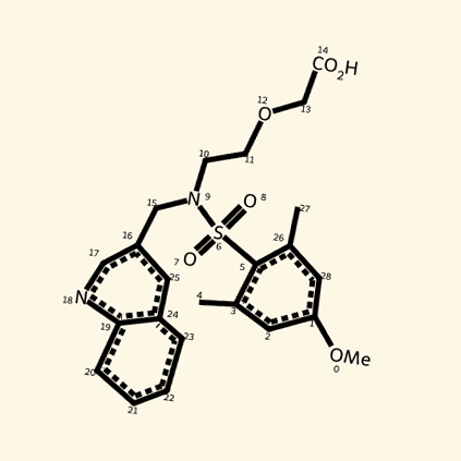 COc1cc(C)c(S(=O)(=O)N(CCOCC(=O)O)Cc2cnc3ccccc3c2)c(C)c1